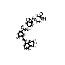 Cc1ccc(C(=O)Nc2ccc(CN3CCNC(=O)C3)c(C(F)(F)F)c2)cc1C#Cc1cncc2cccnc12